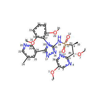 COc1cnc([C@@H](OC)[C@H](C)S(=O)(=O)Nc2nnc(-c3cncc(C)c3)n2-c2c(OC)cccc2OC)nc1